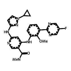 CNC(=O)c1cnc(Nc2ccn(C3CC3)n2)cc1Nc1cccc(-c2ncc(F)cn2)c1OC